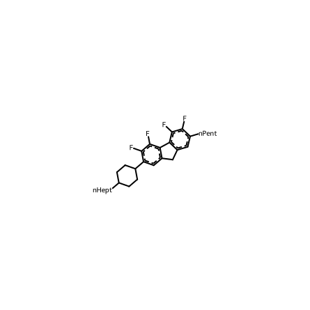 CCCCCCCC1CCC(c2cc3c(c(F)c2F)-c2c(cc(CCCCC)c(F)c2F)C3)CC1